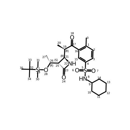 Cc1ccc(S(=O)(=O)NC2CCCCC2)cc1C(=O)[C@H](C)[C@H]1NC(=O)[C@@H]1[C@@H](C)O[Si](C)(C)C(C)(C)C